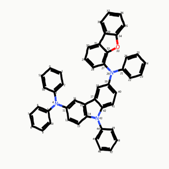 c1ccc(N(c2ccccc2)c2ccc3c(c2)c2cc(N(c4ccccc4)c4cccc5c4oc4ccccc45)ccc2n3-c2ccccc2)cc1